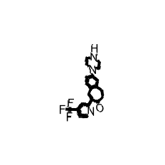 O=C1CCc2cc(N3CCNCC3)ccc2C=C1c1cc(C(F)(F)F)ccn1